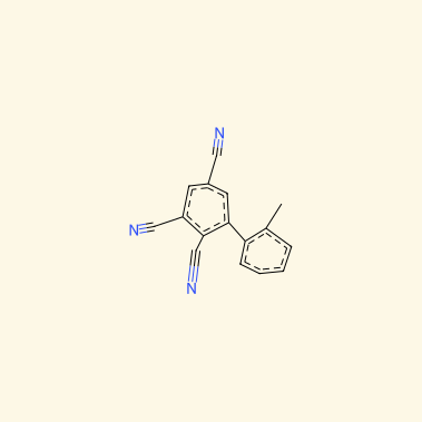 Cc1ccccc1-c1cc(C#N)cc(C#N)c1C#N